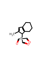 CC1=CC2=C(CCCC2)[CH]1[Ti]([CH]=O)([CH]=O)[CH]=O